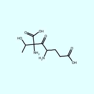 CC(O)C(N)(C(=O)O)C(=O)C(N)CCC(=O)O